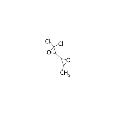 CC1OC1C1OC1(Cl)Cl